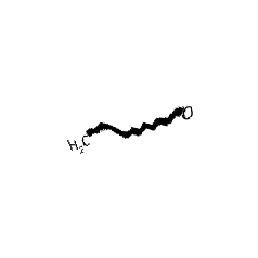 C=CC=CCC=CCCC=CC=O